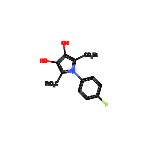 CCOC(=O)c1c(O)c(O)c(C(=O)OCC)n1-c1ccc(F)cc1